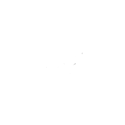 CNC(=O)C[C@H](NC(=O)OC(C)(C)C)C(=O)O